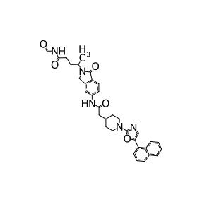 CC(CCC(=O)NC=O)N1Cc2cc(NC(=O)CC3CCN(c4ncc(-c5cccc6ccccc56)o4)CC3)ccc2C1=O